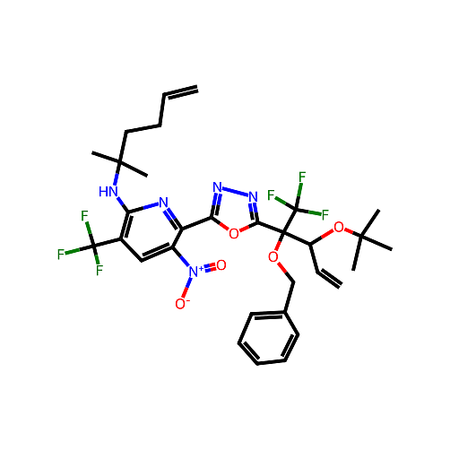 C=CCCC(C)(C)Nc1nc(-c2nnc(C(OCc3ccccc3)(C(C=C)OC(C)(C)C)C(F)(F)F)o2)c([N+](=O)[O-])cc1C(F)(F)F